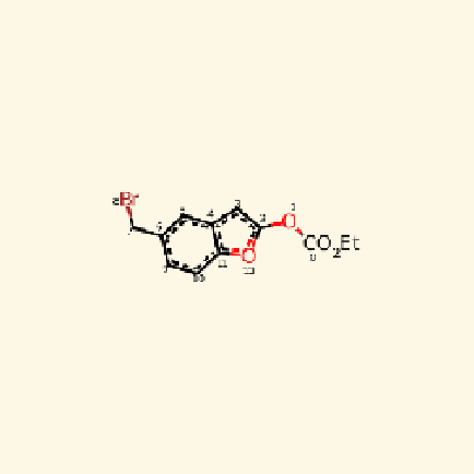 CCOC(=O)Oc1cc2cc(CBr)ccc2o1